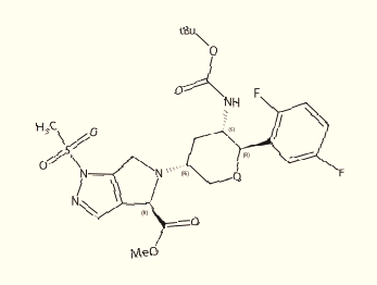 COC(=O)[C@H]1c2cnn(S(C)(=O)=O)c2CN1[C@H]1CO[C@H](c2cc(F)ccc2F)[C@@H](NC(=O)OC(C)(C)C)C1